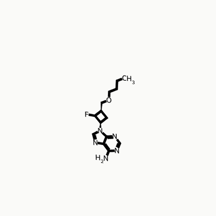 CCCCOC[C@H]1C[C@@H](n2cnc3c(N)ncnc32)C1F